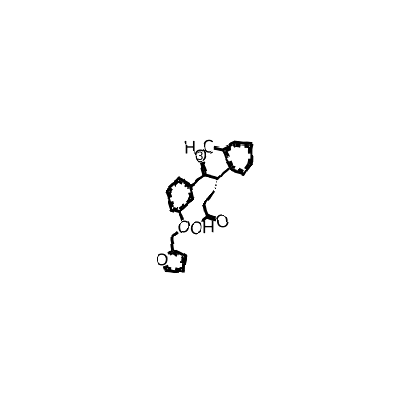 Cc1ccccc1[C@H](CCC(=O)O)C(=O)c1cccc(OCc2ccco2)c1